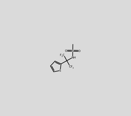 CS(=O)(=O)NC(c1cccs1)(C(F)(F)F)C(F)(F)F